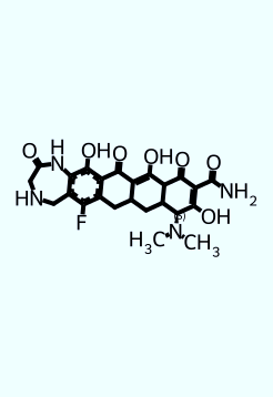 CN(C)[C@@H]1C(O)=C(C(N)=O)C(=O)C2C(O)=C3C(=O)c4c(O)c5c(c(F)c4CC3CC21)CNCC(=O)N5